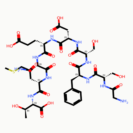 CSCC[C@H](NC(=O)[C@H](CCC(=O)O)NC(=O)[C@H](CC(=O)O)NC(=O)[C@H](CO)NC(=O)[C@H](Cc1ccccc1)NC(=O)[C@H](CO)NC(=O)CN)C(=O)N[C@@H](CC(N)=O)C(=O)N[C@H](C(=O)O)[C@@H](C)O